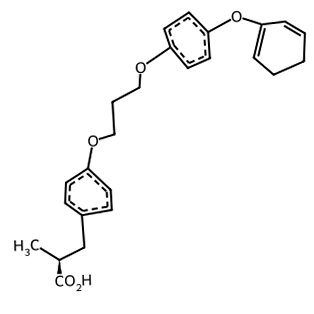 C[C@@H](Cc1ccc(OCCCOc2ccc(OC3=CCCC=C3)cc2)cc1)C(=O)O